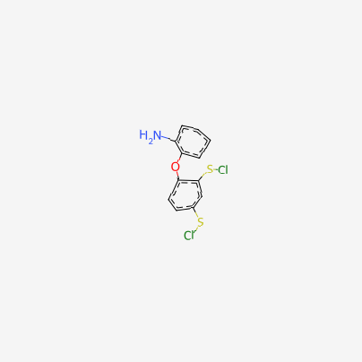 Nc1ccccc1Oc1ccc(SCl)cc1SCl